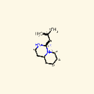 C=C(C)/C=C1\NCCC2CCCCN12